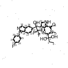 CCC(O)(O)c1nc2c(C(O)(c3ccc4c(cnn4-c4ccc(F)cc4)c3)C(F)(F)F)c[nH]c2c(=O)n1C